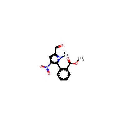 COC(=O)c1ccccc1-c1c([N+](=O)[O-])cc(C=O)n1C